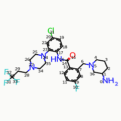 NC1CCCN(Cc2cc(F)ccc2C(=O)Nc2ccc(Cl)cc2N2CCN(CCC(F)(F)F)CC2)C1